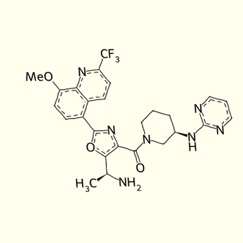 COc1ccc(-c2nc(C(=O)N3CCC[C@@H](Nc4ncccn4)C3)c([C@H](C)N)o2)c2ccc(C(F)(F)F)nc12